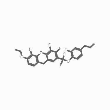 CCCc1ccc(OC(F)(F)c2cc3c(c(F)c2F)Oc2c(ccc(OCC)c2F)C3)c(F)c1